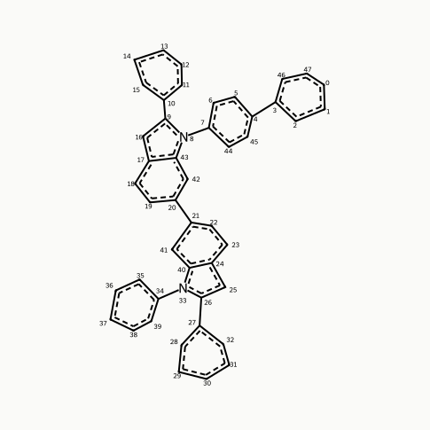 c1ccc(-c2ccc(-n3c(-c4ccccc4)cc4ccc(-c5ccc6cc(-c7ccccc7)n(-c7ccccc7)c6c5)cc43)cc2)cc1